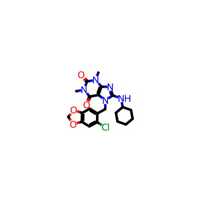 Cn1c(=O)c2c(nc(NC3CCCCC3)n2Cc2cc3c(cc2Cl)OCO3)n(C)c1=O